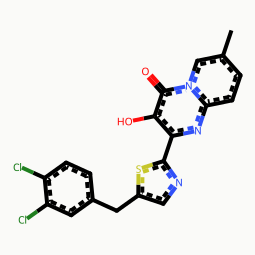 Cc1ccc2nc(-c3ncc(Cc4ccc(Cl)c(Cl)c4)s3)c(O)c(=O)n2c1